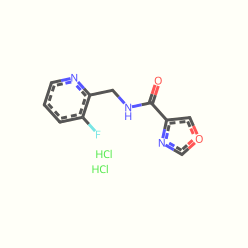 Cl.Cl.O=C(NCc1ncccc1F)c1cocn1